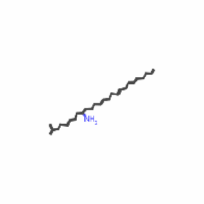 CCCCCC=CCC=CCCCCCCCC(N)CCCCCCC(C)C